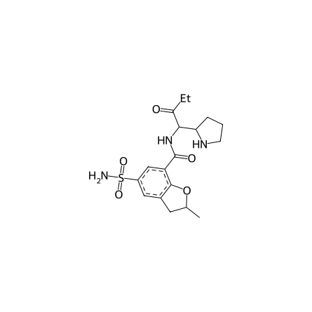 CCC(=O)C(NC(=O)c1cc(S(N)(=O)=O)cc2c1OC(C)C2)C1CCCN1